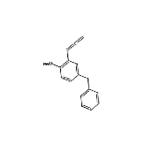 C=C=Cc1cc(Cc2ccccc2)ccc1OC